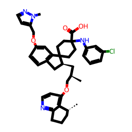 C[C@@H](COc1ccnc2c1[C@H](C)CCC2)C[C@H]1Cc2ccc(OCc3ccnn3C)cc2C12CCC(Nc1cccc(Cl)c1)(C(=O)O)CC2